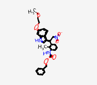 COCCOc1ccc2c(C(C[N+](=O)[O-])c3cccc(NC(=O)OCc4ccccc4)c3C)c[nH]c2c1